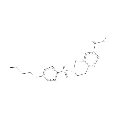 CCCCOc1ccc(S(=O)(=O)N2CCc3ncc(C(=O)NO)cc3C2)cc1